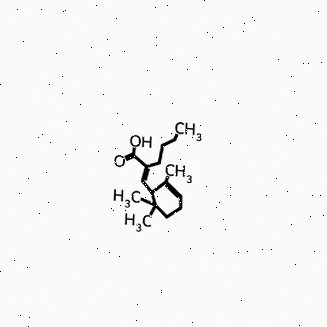 CCCCC(=CC1C(C)=CCCC1(C)C)C(=O)O